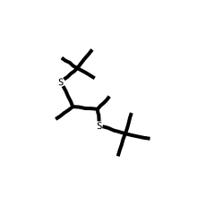 CC(SC(C)(C)C)C(C)SC(C)(C)C